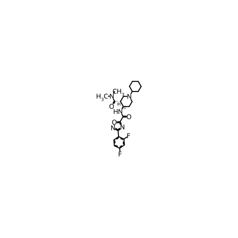 CN(C)C(=O)[C@@H]1CN(C2CCCCC2)CC[C@H]1NC(=O)c1nc(-c2ccc(F)cc2F)no1